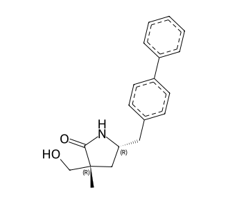 C[C@]1(CO)C[C@@H](Cc2ccc(-c3ccccc3)cc2)NC1=O